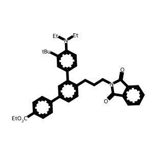 CCOC(=O)c1ccc(-c2ccc(CCCN3C(=O)c4ccccc4C3=O)c(-c3ccc(N(CC)CC)c(C(C)(C)C)c3)c2)cc1